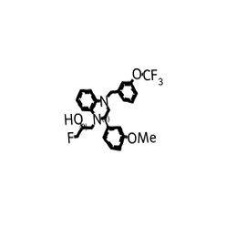 COc1cccc([C@@H]2CN(Cc3cccc(OC(F)(F)F)c3)c3ccccc3N2C[C@@H](O)CF)c1